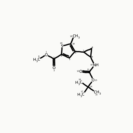 COC(=O)c1cc(C2CC2NC(=O)OC(C)(C)C)c(C)s1